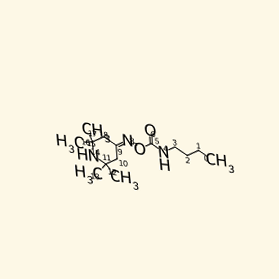 CCCCNC(=O)ON=C1CC(C)(C)NC(C)(C)C1